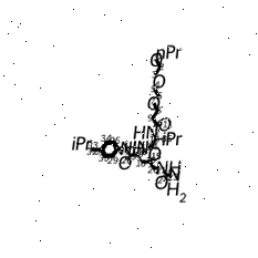 CCCOCCOCCOCCC(=O)N[C@H](C(=O)N[C@@H](CCCNC(N)=O)C(=O)Nc1ccc(CC(C)C)cc1)C(C)C